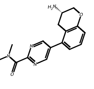 CN(C)C(=O)c1ncc(-c2cccc3c2C[C@H](N)CO3)cn1